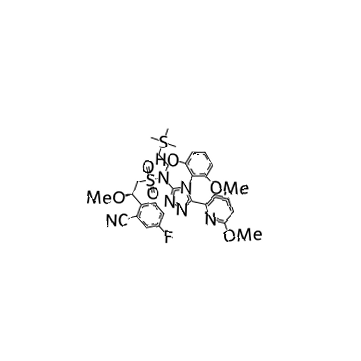 COC1=NC(c2nnc(N(CCS(C)(C)C)S(=O)(=O)C[C@H](OC)c3ccc(F)cc3C#N)n2-c2c(O)cccc2OC)=C=C=C1